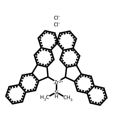 C[SiH](C)[Zr+2]([CH]1c2cc3ccccc3cc2-c2cc3ccccc3cc21)[CH]1c2cc3ccccc3cc2-c2cc3ccccc3cc21.[Cl-].[Cl-]